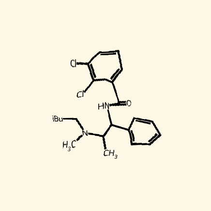 CCC(C)CN(C)C(C)C(NC(=O)c1cccc(Cl)c1Cl)c1ccccc1